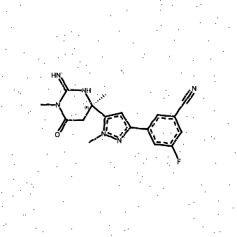 CN1C(=N)N[C@@](C)(c2cc(-c3cc(F)cc(C#N)c3)nn2C)CC1=O